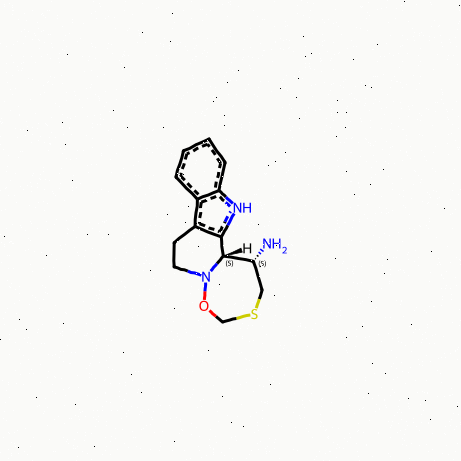 N[C@@H]1CSCON2CCc3c([nH]c4ccccc34)[C@H]12